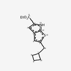 CCOC(=O)c1cc2cc(CC3CCC3)sc2[nH]1